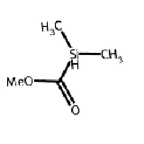 COC(=O)[SiH](C)C